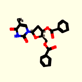 Cc1cn([C@H]2C[C@@H](OC(=O)c3ccccc3)[C@H](COC(=O)c3ccccc3)O2)c(=O)[nH]c1=O